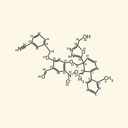 Cc1ccccc1C1=CC=CC(COc2cc(OCc3cccc(C#N)c3)c(C=O)cc2[N+](=O)[O-])(c2nnc(CO)o2)C1C